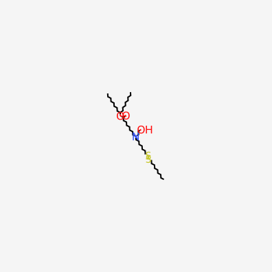 CCCCCCCCCSSCCCCCCCN(CCO)CCCCCCCC(=O)OC(CCCCCCCC)CCCCCCCC